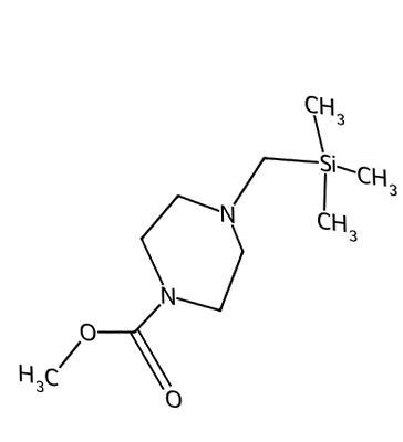 COC(=O)N1CCN(C[Si](C)(C)C)CC1